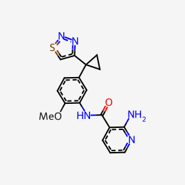 COc1ccc(C2(c3csnn3)CC2)cc1NC(=O)c1cccnc1N